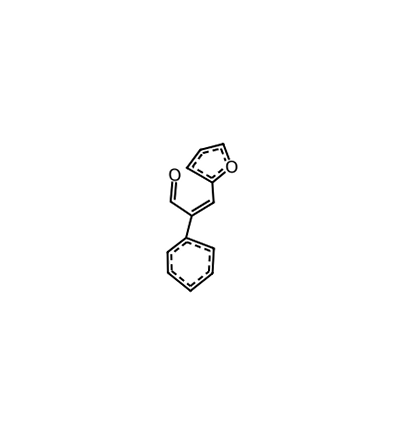 O=CC(=Cc1ccco1)c1ccccc1